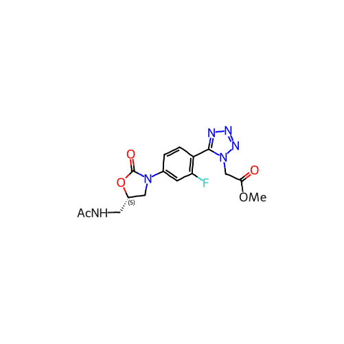 COC(=O)Cn1nnnc1-c1ccc(N2C[C@H](CNC(C)=O)OC2=O)cc1F